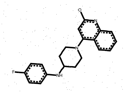 [O]c1cc(N2CCC(Nc3ccc(F)cc3)CC2)c2ccccc2n1